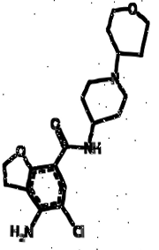 Nc1c(Cl)cc(C(=O)NC2CCN(C3CCOCC3)CC2)c2c1CCO2